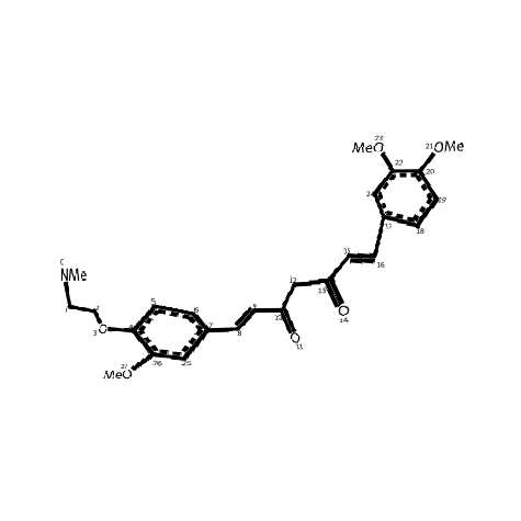 CNCCOc1ccc(/C=C/C(=O)CC(=O)/C=C/c2ccc(OC)c(OC)c2)cc1OC